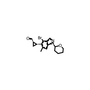 Cc1cc2c(cnn2C2CCCCO2)c(Br)c1[C@H]1C[C@H]1C=O